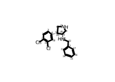 Clc1ccc([C@@H]2CNC[C@@H]2NCc2ccccc2)cc1Cl